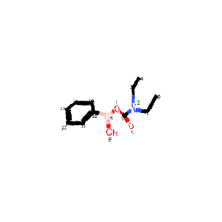 CCN(CC)C(=O)OB(O)c1ccccc1